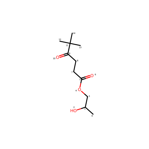 CC(O)COC(=O)CCC(=O)C(C)(C)C